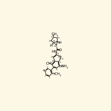 Cc1ccncc1-c1cc(N)c2cnc(NC(=O)[C@H]3[C@@H]4C[C@@H](C)C[C@@H]43)cc2c1Cl